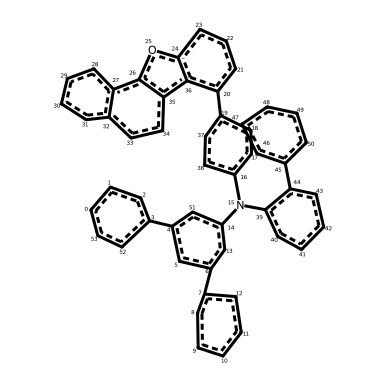 c1ccc(-c2cc(-c3ccccc3)cc(N(c3ccc(-c4cccc5oc6c7ccccc7ccc6c45)cc3)c3ccccc3-c3ccccc3)c2)cc1